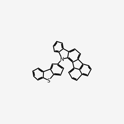 c1cc2c3c(cccc3c1)-c1c-2ccc2c3ccccc3n(-c3ccc4sc5ccccc5c4c3)c12